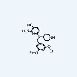 CCOc1cc(CN(c2ncc(C#N)c(N)n2)C2CCNCC2)cc(OCC)c1